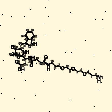 CNCCCOCCOCCOCCCNC(=O)CCC(=O)N[C@H](CC(=O)O)C(=O)N[C@@H](Cc1c[nH]c2ccccc12)C(=O)NC